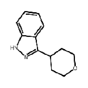 c1ccc2c(C3CCOCC3)n[nH]c2c1